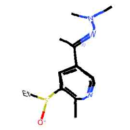 CC[S+]([O-])c1cc(/C(C)=N/N(C)C)cnc1C